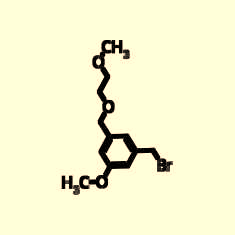 COCCOCc1cc(CBr)cc(OC)c1